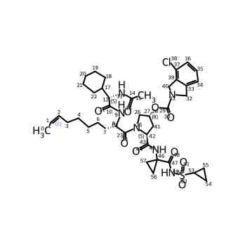 C/C=C\CCCCC[C@H](NC(=O)[C@@H](NC(C)=O)C1CCCCC1)C(=O)N1C[C@H](OC(=O)N2Cc3cccc(Cl)c3C2)C[C@H]1C(=O)NC1(C(=O)NS(=O)(=O)C2CC2)CC1